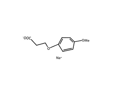 COc1ccc(OCCC(=O)[O-])cc1.[Na+]